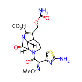 CO/N=C(\C(=O)N1CCC2C(COC(N)=O)=C(C(=O)O)N3C(=O)[C@@H]1[C@@H]23)c1csc(N)n1